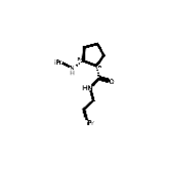 CC(C)CCNC(=O)[C@H]1CCC[C@H]1NC(C)C